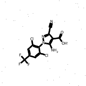 N#Cc1nn(-c2c(Cl)cc(C(F)(F)F)cc2Cl)c(N)c1C(=O)O